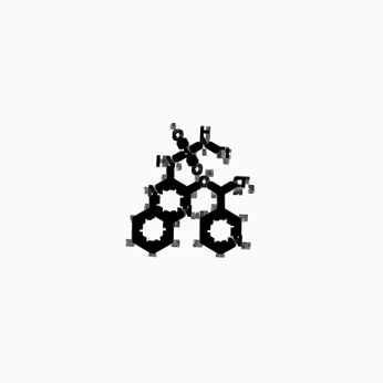 CCNS(=O)(=O)Nc1nc2ccccc2nc1OC(c1cccnc1)C(F)(F)F